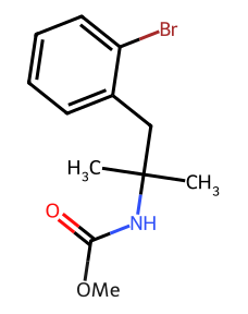 COC(=O)NC(C)(C)Cc1ccccc1Br